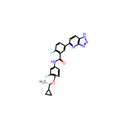 C[C@H](Oc1ccc(NC(=O)c2cc(-c3ccc4[nH]nnc4n3)ccc2F)cc1F)C1CC1